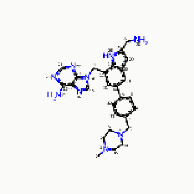 CN1CCN(Cc2ccc(-c3cc(Cn4cnc5c(N)ncnc54)c4[nH]c(CN)cc4c3)cc2)CC1